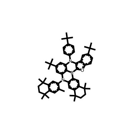 Cc1cc2c(cc1N1c3cc4c(cc3B3c5oc6ccc(C(C)(C)C)cc6c5N(c5ccc(C(C)(C)C)cc5)c5cc(C(C)(C)C)cc1c53)C(C)(C)CCC4(C)C)C(C)(C)CCC2(C)C